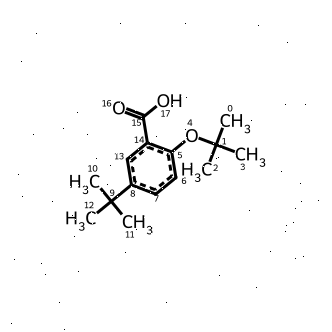 CC(C)(C)Oc1ccc(C(C)(C)C)cc1C(=O)O